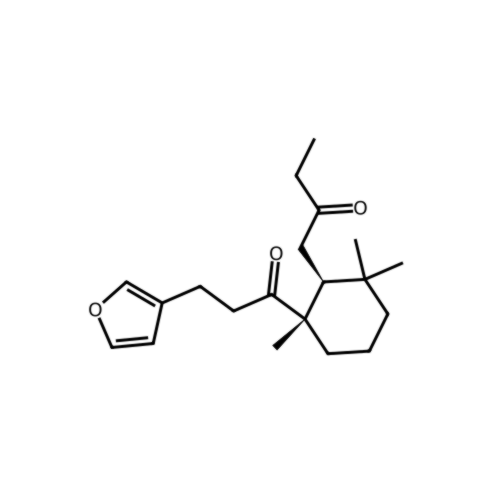 CCC(=O)C[C@H]1C(C)(C)CCC[C@]1(C)C(=O)CCc1ccoc1